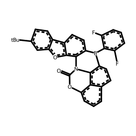 CC(C)(C)c1ccc2c(c1)oc1c3c(ccc12)B(c1c(F)cccc1F)c1ccc2cccc4c2c1N3C(=O)O4